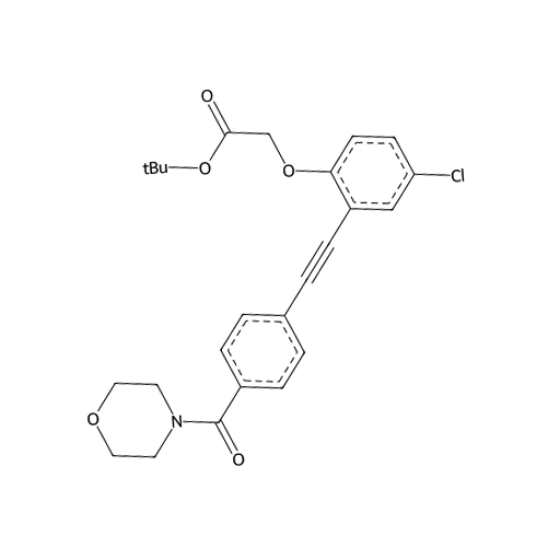 CC(C)(C)OC(=O)COc1ccc(Cl)cc1C#Cc1ccc(C(=O)N2CCOCC2)cc1